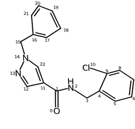 O=C(NCc1ccccc1Cl)c1cnn(Cc2ccccc2)c1